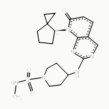 CNS(=O)(=O)N1CCC(Nc2ncc3ccc(=O)n([C@H]4CCCC45CC5)c3n2)CC1